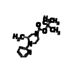 CC1CN(C(=O)OC(C)(C)C)CCN1c1ccccn1